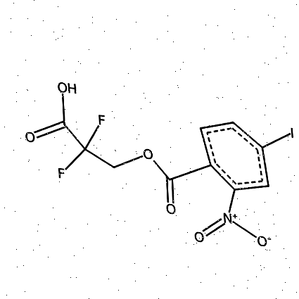 O=C(OCC(F)(F)C(=O)O)c1ccc(I)cc1[N+](=O)[O-]